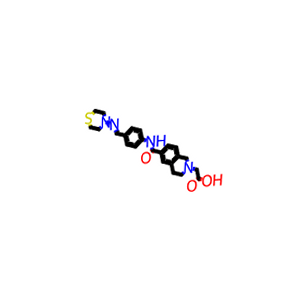 O=C(O)CN1CCc2cc(C(=O)Nc3ccc(C=NN4CCSCC4)cc3)ccc2C1